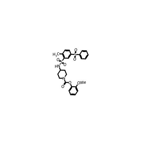 COc1ccccc1OC(=O)N1CCC(NS(=O)(=O)c2cc(S(=O)(=O)c3ccccc3)ccc2C)CC1